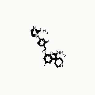 Cc1nccn1-c1ccc(COc2cc(F)cc(C3(C(N)=O)CCOCC3)c2)c(F)c1